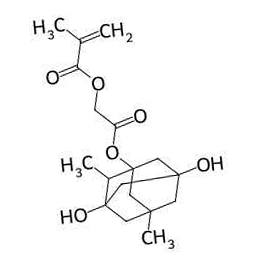 C=C(C)C(=O)OCC(=O)OC12CC3(C)CC(O)(CC(O)(C3)C1C)C2